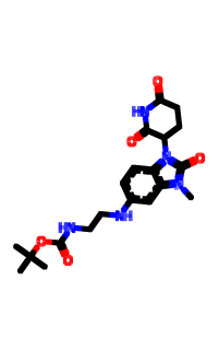 Cn1c(=O)n(C2CCC(=O)NC2=O)c2ccc(NCCNC(=O)OC(C)(C)C)cc21